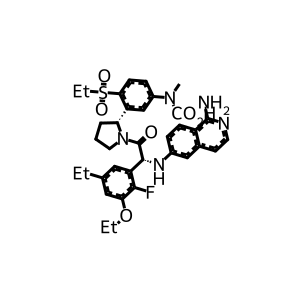 CCOc1cc(CC)cc([C@@H](Nc2ccc3c(N)nccc3c2)C(=O)N2CCC[C@@H]2c2cc(N(C)C(=O)O)ccc2S(=O)(=O)CC)c1F